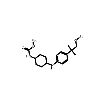 CCOCC(C)(C)c1ccc(NC2CCC(NC(=O)OC(C)(C)C)CC2)cc1